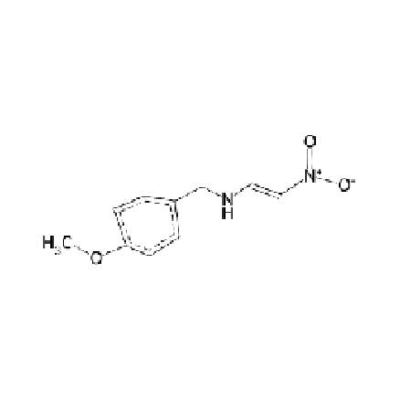 COc1ccc(CNC=C[N+](=O)[O-])cc1